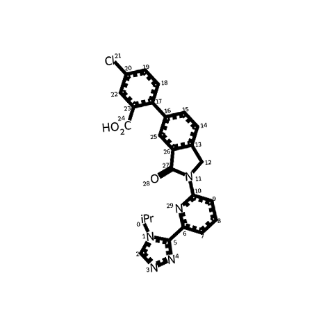 CC(C)n1cnnc1-c1cccc(N2Cc3ccc(-c4ccc(Cl)cc4C(=O)O)cc3C2=O)n1